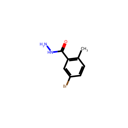 Cc1ccc(Br)cc1C(=O)NN